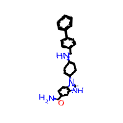 NC(=O)c1ccc2c(c1)N[CH]N2C1CCC(NCc2ccc(-c3ccccc3)cc2)CC1